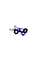 CC1(C)CCCc2c1n[nH]c2-c1ncnc2ccccc12